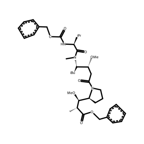 CC[C@H](C)[C@@H]([C@@H](CC(=O)N1CCC[C@H]1[C@H](OC)[C@@H](C)C(=O)OCc1ccccc1)OC)N(C)C(=O)[C@@H](NC(=O)OCc1ccccc1)C(C)C